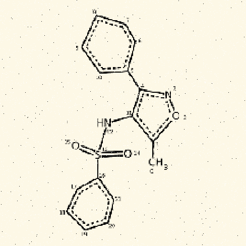 Cc1onc(-c2ccccc2)c1NS(=O)(=O)c1ccccc1